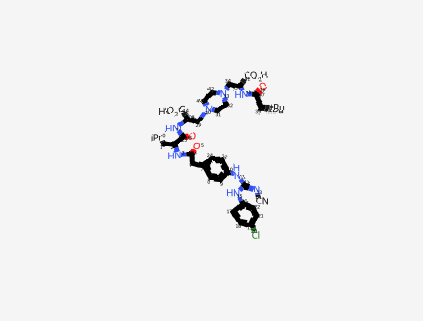 CC(C)CC(NC(=O)Cc1ccc(NC(=NC#N)Nc2ccc(Cl)cc2)cc1)C(=O)NC(CN1CCN(CC(NC(=O)CC(C)(C)C)C(=O)O)CC1)C(=O)O